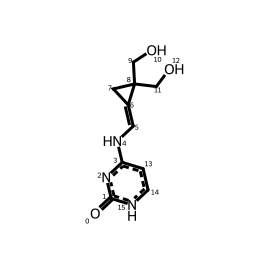 O=c1nc(N/C=C2\CC2(CO)CO)cc[nH]1